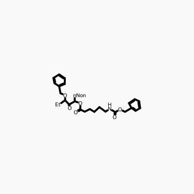 CCCCCCCCCC(OC(=O)CCCCCNC(=O)OCc1ccccc1)C(=O)C(CC)OCc1ccccc1